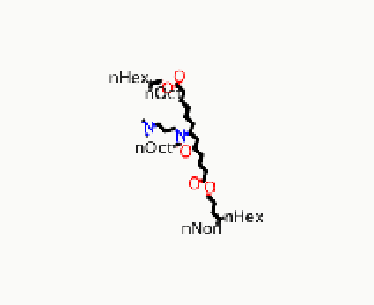 CCCCCCCCCC(CCCCCC)CCCOC(=O)CCCCCC(CCCCCC(=O)OCC(CCCCCC)CCCCCCCC)N(CCCN(C)C)C(=O)CCCCCCCC